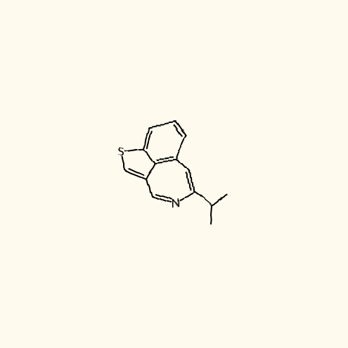 CC(C)C1=Cc2cccc3scc(c23)C=N1